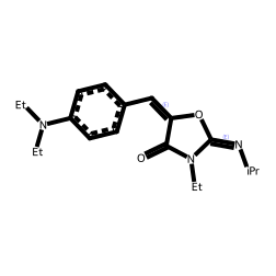 CCN1C(=O)/C(=C\c2ccc(N(CC)CC)cc2)O/C1=N/C(C)C